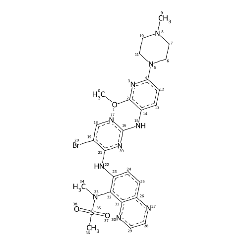 COc1nc(N2CCN(C)CC2)ccc1Nc1ncc(Br)c(Nc2ccc3nccnc3c2N(C)S(C)(=O)=O)n1